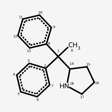 CC(c1ccccc1)(c1ccccc1)C1CCCN1